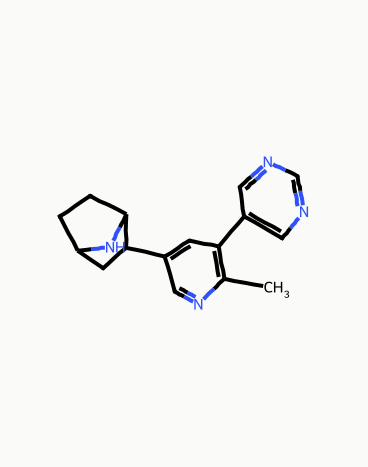 Cc1ncc(C2CC3CCC2N3)cc1-c1cncnc1